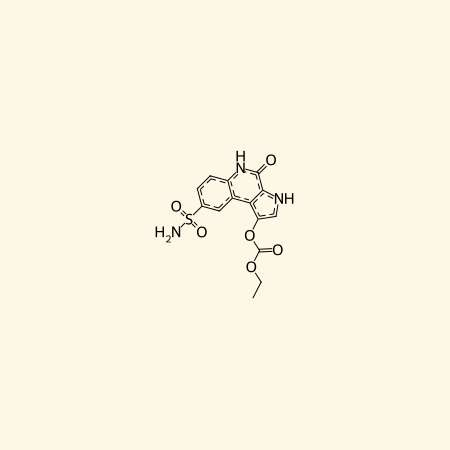 CCOC(=O)Oc1c[nH]c2c(=O)[nH]c3ccc(S(N)(=O)=O)cc3c12